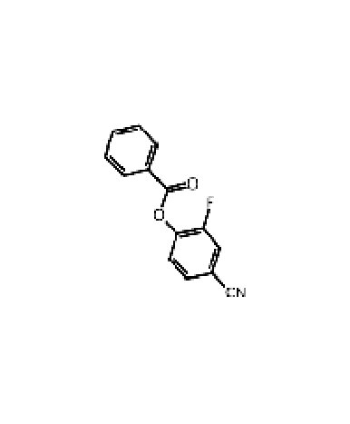 N#Cc1ccc(OC(=O)c2ccccc2)c(F)c1